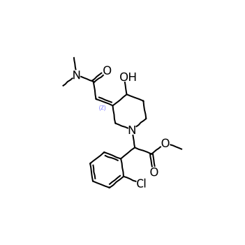 COC(=O)C(c1ccccc1Cl)N1CCC(O)/C(=C\C(=O)N(C)C)C1